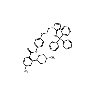 Cc1ccc(C(=O)Nc2ccc(OCCn3nccc3NC(c3ccccc3)(c3ccccc3)c3ccccc3)cc2)c(N2CCC(C)CC2)c1